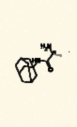 C[C@@H](N)C(=O)NC12CC3CC(CC(C3)C1)C2